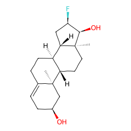 C[C@]12CC[C@H]3[C@@H](CCC4=CC[C@H](O)C[C@@]43C)[C@@H]1C[C@@H](F)[C@H]2O